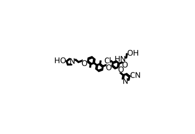 Cc1c(COc2cc(OCc3cncc(C#N)c3)c(C(=O)NCCO)cc2Cl)cccc1-c1cccc(OCCCN2CC[C@@H](O)C2)c1C